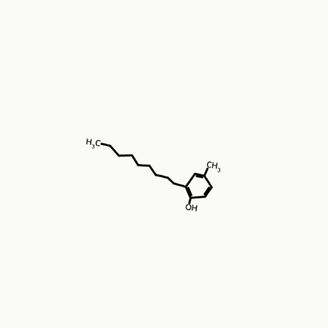 CCCCCCCCCc1cc(C)ccc1O